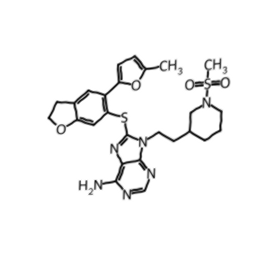 Cc1ccc(-c2cc3c(cc2Sc2nc4c(N)ncnc4n2CCC2CCCN(S(C)(=O)=O)C2)OCC3)o1